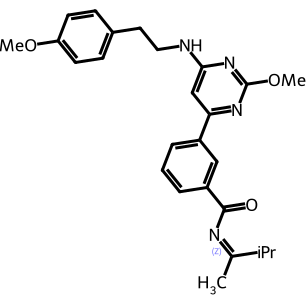 COc1ccc(CCNc2cc(-c3cccc(C(=O)/N=C(/C)C(C)C)c3)nc(OC)n2)cc1